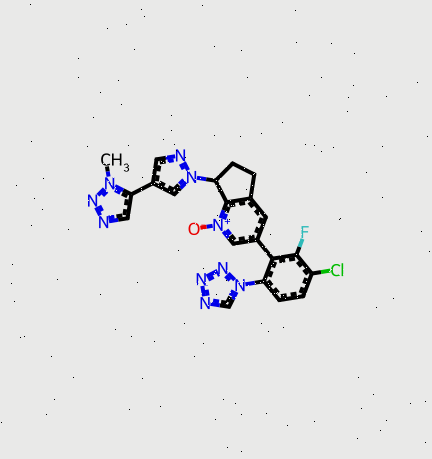 Cn1nncc1-c1cnn(C2CCc3cc(-c4c(-n5cnnn5)ccc(Cl)c4F)c[n+]([O-])c32)c1